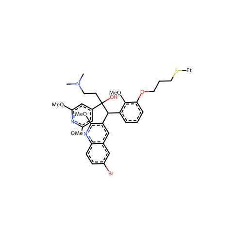 CCSCCCOc1cccc(C(c2cc3cc(Br)ccc3nc2OC)C(O)(CCN(C)C)c2cc(OC)nc(OC)c2)c1OC